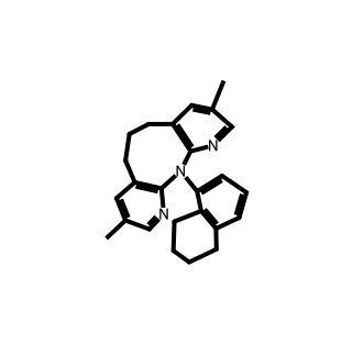 Cc1cnc2c(c1)CCCc1cc(C)cnc1N2c1cccc2c1CCCC2